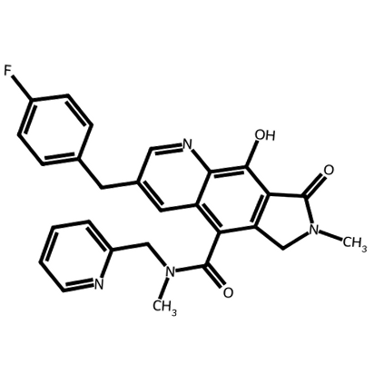 CN1Cc2c(c(O)c3ncc(Cc4ccc(F)cc4)cc3c2C(=O)N(C)Cc2ccccn2)C1=O